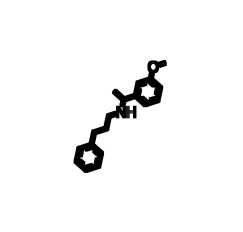 COc1cccc(C(C)NCCCc2ccccc2)c1